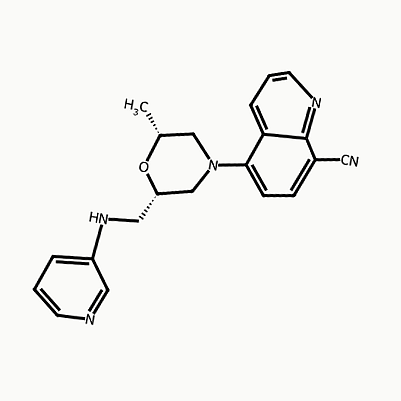 C[C@@H]1CN(c2ccc(C#N)c3ncccc23)C[C@H](CNc2cccnc2)O1